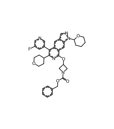 O=C(OCc1ccccc1)N1CC(Oc2nc(C3CCOCC3)c(-c3cncc(F)c3)c3cc4cnn(C5CCCCO5)c4cc23)C1